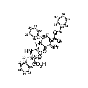 CC(C)C1C(=O)N(CC(=O)N[C@@H](Cc2ccccc2)C(=O)C(=O)O)C(c2ccccc2)=CN1C(=O)OCc1ccccc1